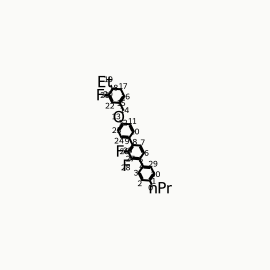 CCCc1ccc(-c2ccc(-c3ccc(OCC4=CC[C@H](CC)C(F)=C4)cc3)c(F)c2F)cc1